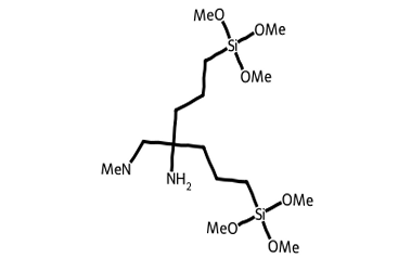 CNCC(N)(CCC[Si](OC)(OC)OC)CCC[Si](OC)(OC)OC